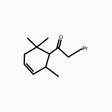 CC(C)CC(=O)C1C(C)C=CCC1(C)C